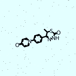 CC1SC(=O)NN=C1c1ccc(-n2ccc(=O)cc2)cc1